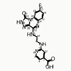 O=C(O)c1ccnc(NCCNc2nc3ccc(F)cc3n3c(=O)[nH]nc23)c1